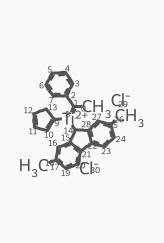 C/[C](c1ccccc1)=[Ti+2](/[C]1=CC=CC1)[CH]1c2cc(C)ccc2-c2ccc(C)cc21.[Cl-].[Cl-]